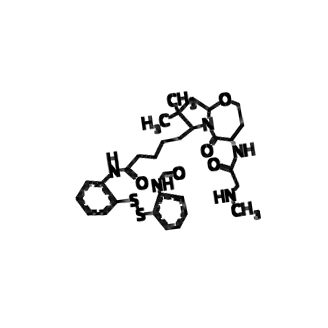 CNCC(=O)N[C@H]1CCOC2CC(C)(C)C(CCCCC(=O)Nc3ccccc3SSc3ccccc3NC=O)N2C1=O